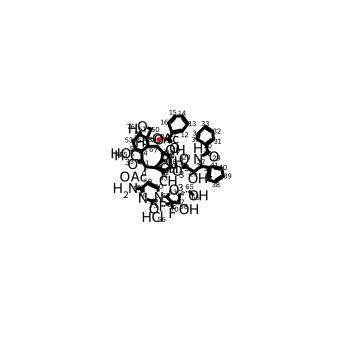 CC(=O)O[C@H]1C(=O)[C@@]2(C)[C@H]([C@H](OC(=O)c3ccccc3)[C@]3(O)C[C@H](OC(=O)[C@H](O)[C@@H](NC(=O)c4ccccc4)c4ccccc4)C(C)=C1C3(C)C)[C@]1(OC(C)=O)CO[C@@H]1C[C@@H]2O.Cl.Nc1ccn([C@@H]2O[C@H](CO)[C@@H](O)C2(F)F)c(=O)n1